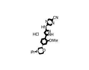 COc1cc([C@H]2CN(C(C)C)CCO2)ccc1-c1cc(Nc2cnc(C#N)cn2)n[nH]1.Cl